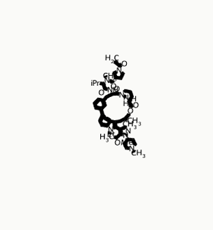 C=CC(=O)N1CC[C@H](C(=O)N(C)C(C(=O)N[C@H]2Cc3cccc(c3)-c3ccc4c(c3)c(c(-c3cnn(C5CCN(C)CC5)c3[C@H](C)OC)n4CC)CC(C)(C)COC(=O)[C@@H]3CCCN(N3)C2=O)C(C)C)C1